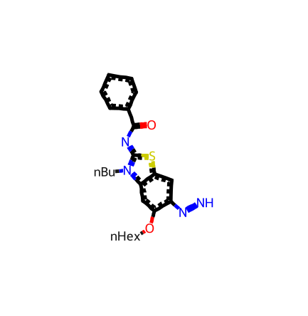 CCCCCCOc1cc2c(cc1N=N)sc(=NC(=O)c1ccccc1)n2CCCC